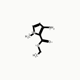 CCOC(=O)c1c(N)ccn1C